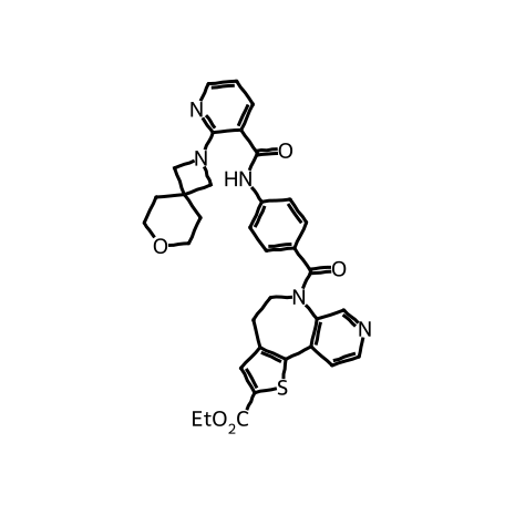 CCOC(=O)c1cc2c(s1)-c1ccncc1N(C(=O)c1ccc(NC(=O)c3cccnc3N3CC4(CCOCC4)C3)cc1)CC2